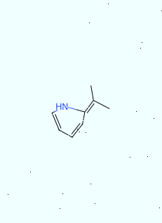 CC(C)=C1C=CC=CN1